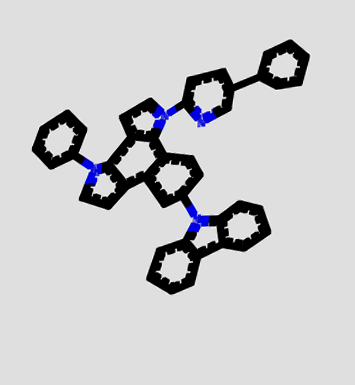 c1ccc(-c2ccc(-n3ccc4c5c(ccn5-c5ccccc5)c5cc(-n6c7ccccc7c7ccccc76)ccc5c43)nc2)cc1